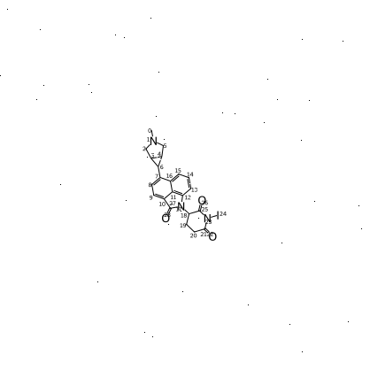 CN1CC2C(C1)C2c1ccc2c3c(cccc13)N(C1CCC(=O)N(I)C1=O)C2=O